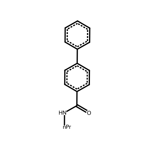 CCCNC(=O)c1ccc(-c2ccccc2)cc1